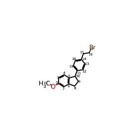 COc1ccc2c(c1)CCC2c1ccc(CCBr)cc1